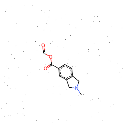 CN1Cc2ccc(C(=O)OC=O)cc2C1